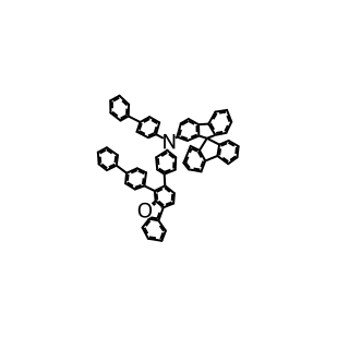 c1ccc(-c2ccc(-c3c(-c4ccc(N(c5ccc(-c6ccccc6)cc5)c5ccc6c(c5)C5(c7ccccc7-c7ccccc75)c5ccccc5-6)cc4)ccc4c3oc3ccccc34)cc2)cc1